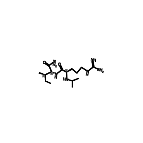 CC[C@@H](C)[C@@H](NC(=O)[C@@H](CCCNC(=N)N)NC(C)C)C(N)=O